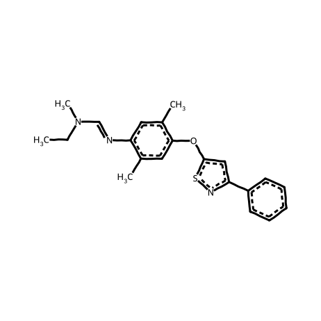 CCN(C)C=Nc1cc(C)c(Oc2cc(-c3ccccc3)ns2)cc1C